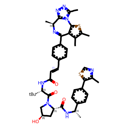 Cc1ncsc1-c1ccc([C@H](C)NC(=O)[C@@H]2C[C@@H](O)CN2C(=O)[C@@H](NC(=O)/C=C/c2ccc(C3=N[C@@H](C)c4nnc(C)n4-c4sc(C)c(C)c43)cc2)C(C)(C)C)cc1